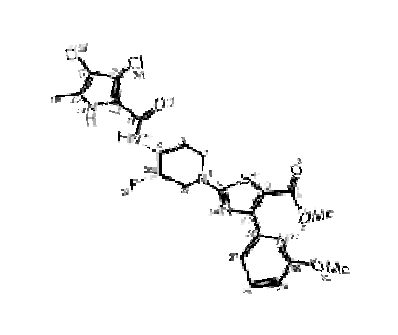 COC(=O)c1sc(N2CC[C@@H](NC(=O)c3[nH]c(C)c(Cl)c3Cl)[C@@H](F)C2)nc1-c1cccc(OC)n1